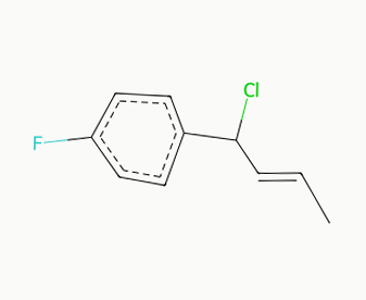 CC=CC(Cl)c1ccc(F)cc1